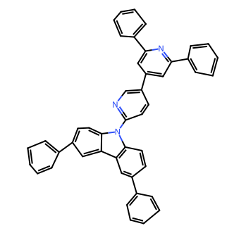 c1ccc(-c2ccc3c(c2)c2cc(-c4ccccc4)ccc2n3-c2ccc(-c3cc(-c4ccccc4)nc(-c4ccccc4)c3)cn2)cc1